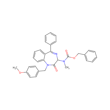 COc1ccc(CN2C(=O)C(N(C)C(=O)OCc3ccccc3)N=C(c3ccccc3)c3ccccc32)cc1